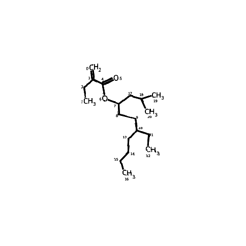 C=C(CC)C(=O)OC(CCC(CC)CCCC)CC(C)C